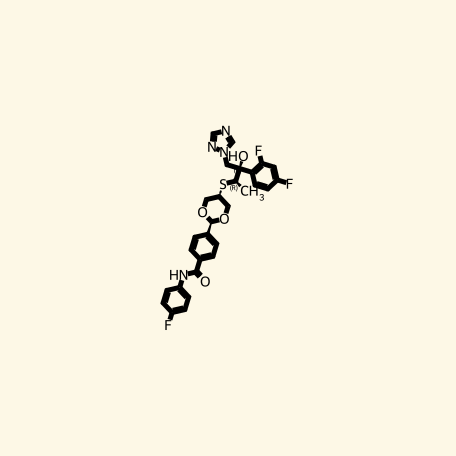 C[C@@H](S[C@H]1CO[C@H](c2ccc(C(=O)Nc3ccc(F)cc3)cc2)OC1)[C@](O)(Cn1cncn1)c1ccc(F)cc1F